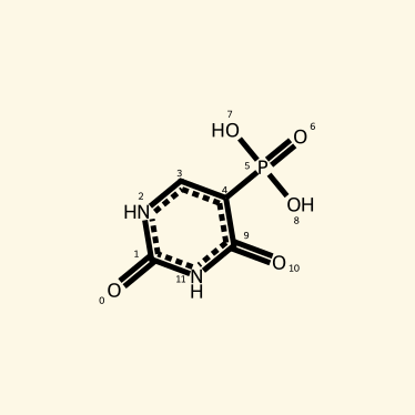 O=c1[nH]cc(P(=O)(O)O)c(=O)[nH]1